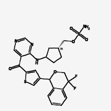 NS(=O)(=O)OC[C@@H]1CCC(Nc2ncncc2C(=O)c2cc(C3OCC(F)(F)c4ccccc43)cs2)C1